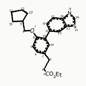 CCOC(=O)CCc1ccc(OCC2CCCC2)c(-c2ccc3ncsc3c2)c1